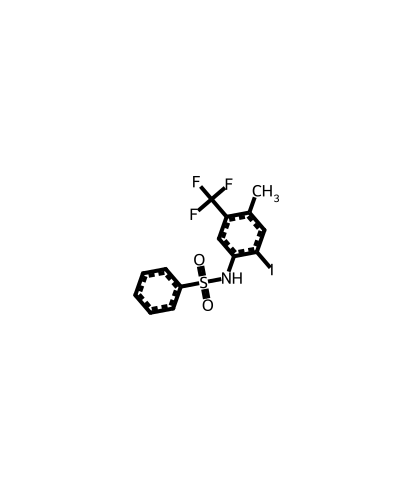 Cc1cc(I)c(NS(=O)(=O)c2ccccc2)cc1C(F)(F)F